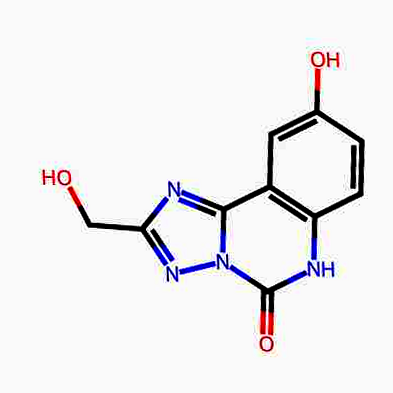 O=c1[nH]c2ccc(O)cc2c2nc(CO)nn12